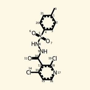 Cc1ccc(S(=O)(=O)NNC(=O)c2c(Cl)ccnc2Cl)cc1